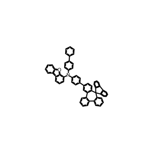 c1ccc(-c2ccc(N(c3ccc(-c4ccc5c(c4)-c4ccccc4-c4ccccc4C54c5ccccc5-c5ccccc54)cc3)c3cccc4c3oc3ccccc34)cc2)cc1